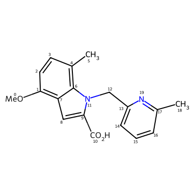 COc1ccc(C)c2c1cc(C(=O)O)n2Cc1cccc(C)n1